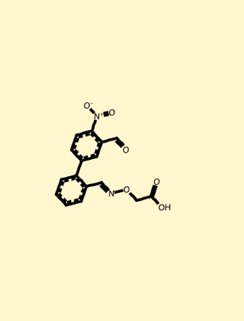 O=Cc1cc(-c2ccccc2C=NOCC(=O)O)ccc1[N+](=O)[O-]